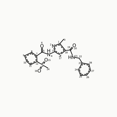 Cc1nc(NC(=O)c2ccccc2S(C)(=O)=O)sc1C(=O)NCc1ccccc1